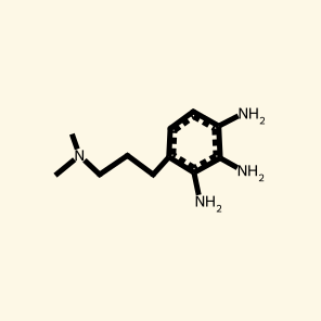 CN(C)CCCc1ccc(N)c(N)c1N